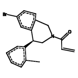 C=CC(=O)N1Cc2ccc(Br)cc2[C@H](c2ccccc2C)C1